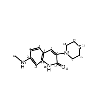 CNc1ccc2cc(N3CCSCC3)c(=O)[nH]c2c1